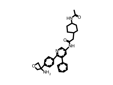 CC(=O)NC1CCC(CC(=O)Nc2cnc(-c3ccc(C4(N)COC4)cc3)c(-c3ccccc3)c2)CC1